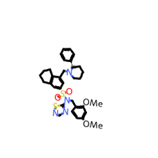 COc1ccc(CN(c2ncns2)S(=O)(=O)c2cc3c(c(CN4CCCC[C@H]4c4ccccc4)c2)CCCC3)c(OC)c1